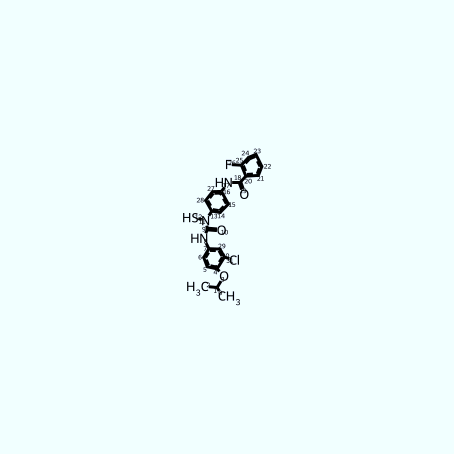 CC(C)Oc1ccc(NC(=O)N(S)c2ccc(NC(=O)c3ccccc3F)cc2)cc1Cl